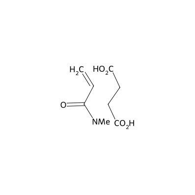 C=CC(=O)NC.O=C(O)CCC(=O)O